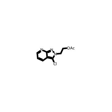 CC(=O)OCCn1nc2ncccc2c1Cl